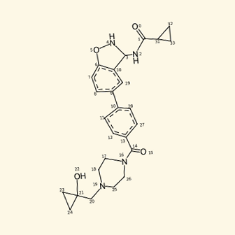 O=C(NC1NOc2ccc(-c3ccc(C(=O)N4CCN(CC5(O)CC5)CC4)cc3)cc21)C1CC1